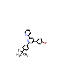 CCC(C)(C)c1ccc(-c2cc(-c3ccc(Br)cc3)cc(-c3ccccn3)n2)cc1